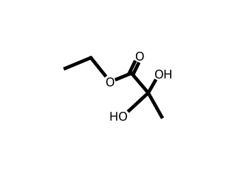 CCOC(=O)C(C)(O)O